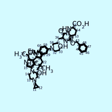 CCn1c(-c2cc(N3CCN(C4CC4)CC3)cnc2C(C)OC)c(CC(C)(C)CO)c2cc(N3CCO[C@@H](CC(NC(=O)OCc4ccccc4)C(=O)N4CCC[C@@H](C(=O)O)N4)C3)ccc21